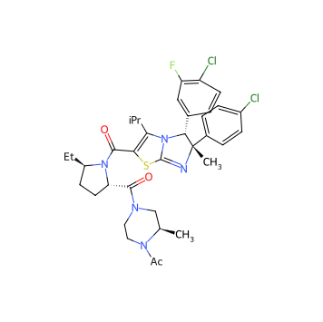 CC[C@@H]1CC[C@@H](C(=O)N2CCN(C(C)=O)[C@H](C)C2)N1C(=O)C1=C(C(C)C)N2C(=N[C@@](C)(c3ccc(Cl)cc3)[C@H]2c2ccc(Cl)c(F)c2)S1